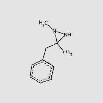 CN1NC1(C)Cc1ccccc1